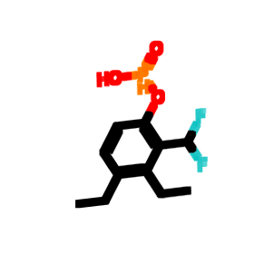 CCc1ccc(O[PH](=O)O)c(C(F)F)c1CC